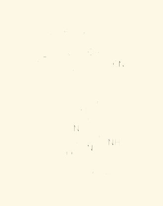 N#Cc1cc(COc2cc3n(c(=O)n2)CCCCCN3)ccc1Oc1cccc(F)c1